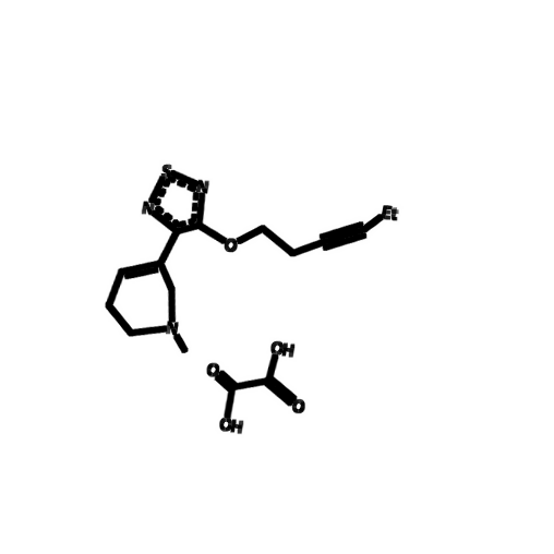 CCC#CCCOc1nsnc1C1=CCCN(C)C1.O=C(O)C(=O)O